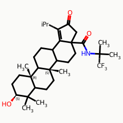 CC(C)C1=C2C3CCC4[C@@](C)(CCC5C(C)(C)[C@@H](O)CC[C@@]54C)C3CCC2(C(=O)NC(C)(C)C(F)(F)F)CC1=O